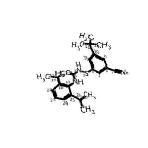 C=C(NSc1cc(C#N)cc(C(C)(C)C)c1)Nc1c(C(C)C)cccc1C(C)C